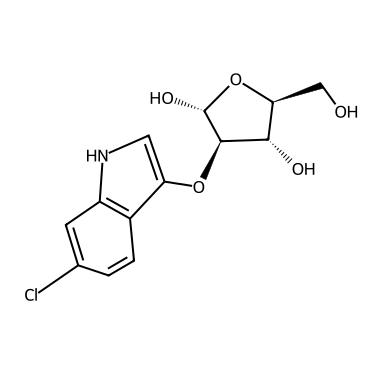 OC[C@@H]1O[C@@H](O)[C@H](Oc2c[nH]c3cc(Cl)ccc23)[C@H]1O